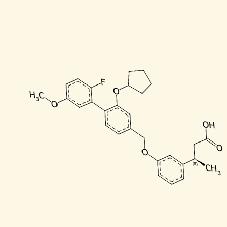 COc1ccc(F)c(-c2ccc(COc3cccc([C@H](C)CC(=O)O)c3)cc2OC2CCCC2)c1